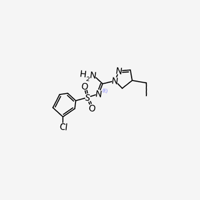 CCC1C=NN(/C(N)=N/S(=O)(=O)c2cccc(Cl)c2)C1